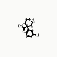 CCC(=O)C1(c2cccc(Cl)c2)CCNCC1